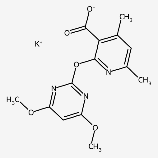 COc1cc(OC)nc(Oc2nc(C)cc(C)c2C(=O)[O-])n1.[K+]